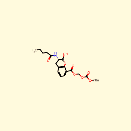 CCCCOC(=O)OCOC(=O)c1cccc2c1OB(O)[C@@H](NC(=O)CCCC(F)(F)F)C2